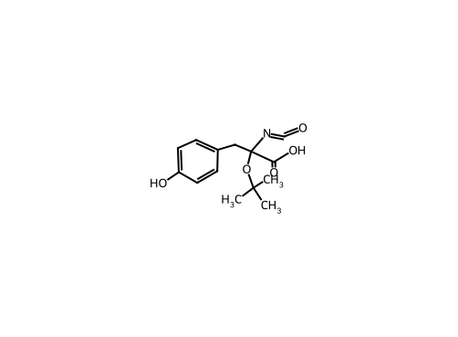 CC(C)(C)OC(Cc1ccc(O)cc1)(N=C=O)C(=O)O